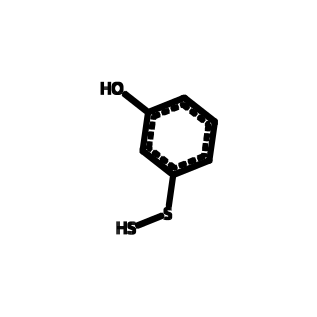 Oc1cccc(SS)c1